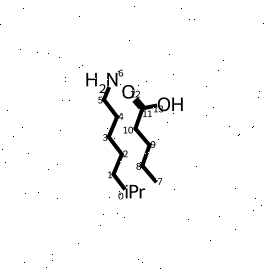 CC(C)CCCCCN.CCCCC(=O)O